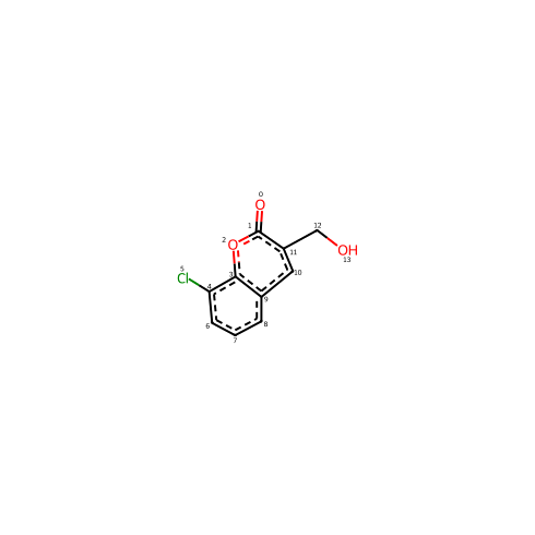 O=c1oc2c(Cl)cccc2cc1CO